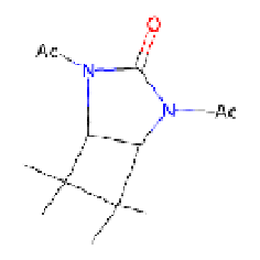 CC(=O)N1C(=O)N(C(C)=O)C2C1C(C)(C)C2(C)C